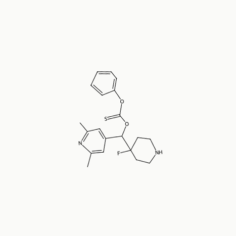 Cc1cc(C(OC(=S)Oc2ccccc2)C2(F)CCNCC2)cc(C)n1